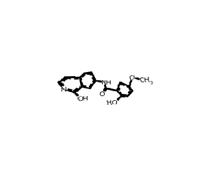 COc1ccc(O)c(C(=O)Nc2ccc3ccnc(O)c3c2)c1